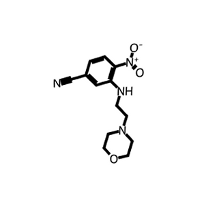 N#Cc1ccc([N+](=O)[O-])c(NCCN2CCOCC2)c1